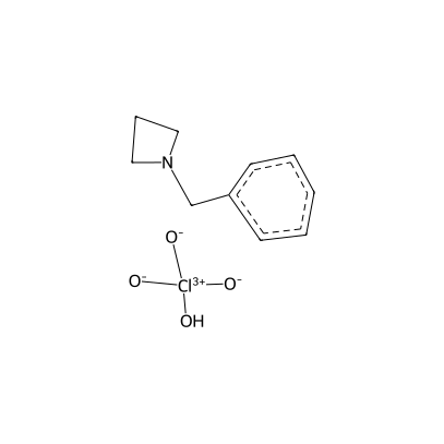 [O-][Cl+3]([O-])([O-])O.c1ccc(CN2CCC2)cc1